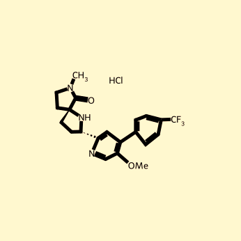 COc1cnc([C@@H]2CC[C@]3(CCN(C)C3=O)N2)cc1-c1ccc(C(F)(F)F)cc1.Cl